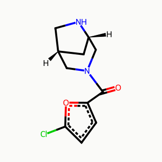 O=C(c1ccc(Cl)o1)N1C[C@@H]2CN[C@@H](C2)C1